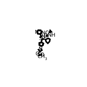 CS(=O)(=O)C1CN(c2ccc(-c3sc(-c4cccnc4)nc3[C@@H]3CCCC[C@H]3C(=O)NC3(C#N)CC3)cc2)C1